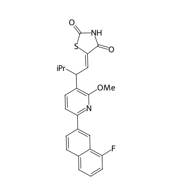 COc1nc(-c2ccc3cccc(F)c3c2)ccc1C(/C=C1\SC(=O)NC1=O)C(C)C